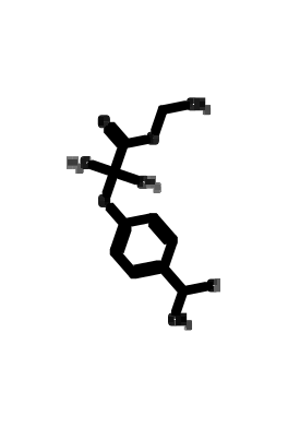 CCOC(=O)C(C)(C)Oc1ccc(C(C)Cl)cc1